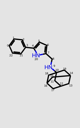 c1ccc(-c2ccc(CNC34CC5CC(CC(C5)C3)C4)[nH]2)cc1